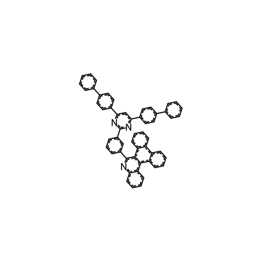 c1ccc(-c2ccc(-c3cc(-c4ccc(-c5ccccc5)cc4)nc(-c4cccc(-c5nc6ccccc6c6c7ccccc7c7ccccc7c56)c4)n3)cc2)cc1